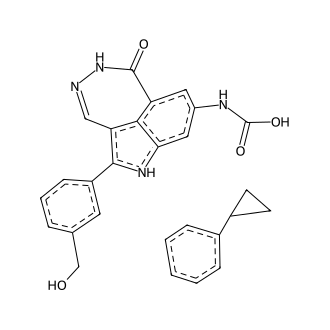 O=C(O)Nc1cc2c3c(c(-c4cccc(CO)c4)[nH]c3c1)C=NNC2=O.c1ccc(C2CC2)cc1